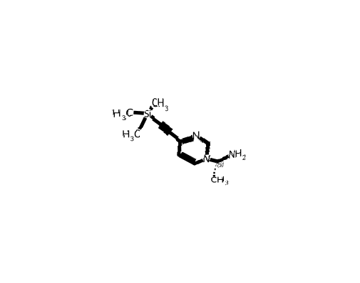 C[C@@H](N)N1C=CC(C#C[Si](C)(C)C)=NC1